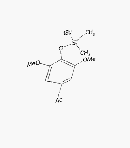 COc1cc(C(C)=O)cc(OC)c1O[Si](C)(C)C(C)(C)C